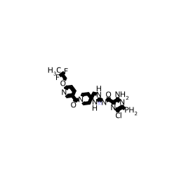 CC(F)(F)COc1ccc(C(=O)N2CCC3(CC2)CN/C(=N\C(=O)c2nc(Cl)c(P)nc2N)N3)cn1